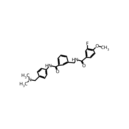 COc1ccc(C(=O)NCc2cccc(C(=O)Nc3ccc(CN(C)C)cc3)c2)cc1F